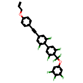 C=CCOc1ccc(C#Cc2cc(F)c(-c3cc(F)c(C(F)(F)Oc4cc(F)c(F)c(F)c4)c(F)c3)c(F)c2)cc1